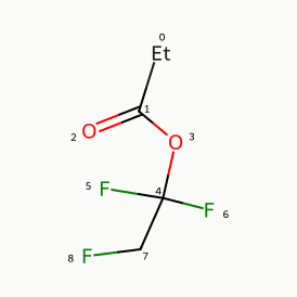 CCC(=O)OC(F)(F)CF